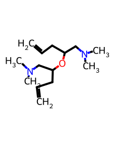 C=CCC(CN(C)C)OC(CC=C)CN(C)C